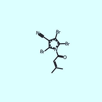 CC(C)=CC(=O)n1c(Br)c(Br)c(C#N)c1Br